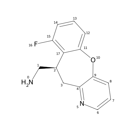 NC[C@@H]1Cc2ncccc2Oc2cccc(F)c21